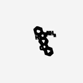 NN1c2cc3c(cc2[C@H]2CCC=CC21)oc1ccccc13